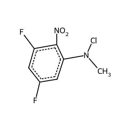 CN(Cl)c1cc(F)cc(F)c1[N+](=O)[O-]